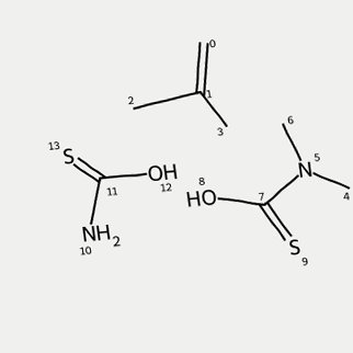 C=C(C)C.CN(C)C(O)=S.NC(O)=S